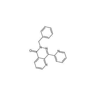 O=c1c2cccnc2c(-c2ccccn2)nn1Cc1ccccc1